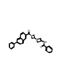 O=C(NC1CN(C2CN(C(=O)c3ccc4cc(-c5ccccc5)ccc4c3)C2)C1)c1ccccc1